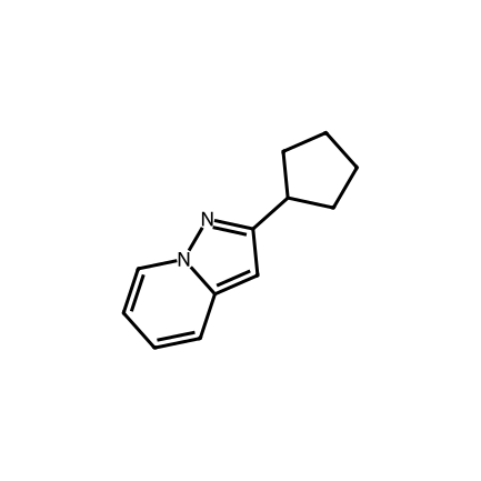 c1ccn2nc(C3CCCC3)cc2c1